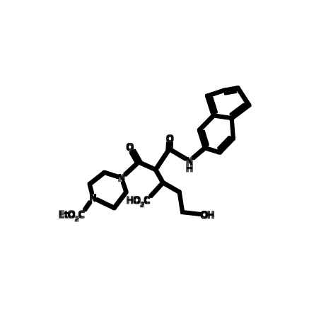 CCOC(=O)N1CCN(C(=O)C(C(=O)Nc2ccc3ccccc3c2)C(CCO)C(=O)O)CC1